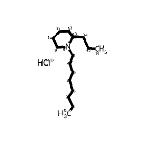 CCCCCCCCN1CCCCC1CCC.Cl